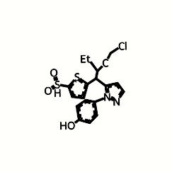 CCC(CCCl)C(c1ccc([SH](=O)=O)s1)c1ccnn1-c1ccc(O)cc1